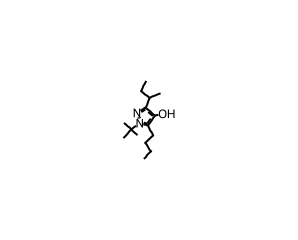 CCCCc1c(O)c(C(C)CC)nn1C(C)(C)C